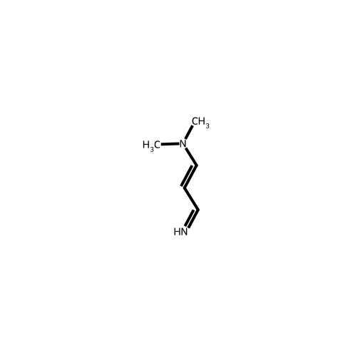 CN(C)/C=C/C=N